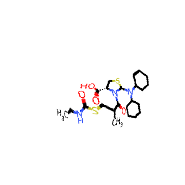 CCNC(=O)SCC(C)C(=O)N1C(N(C2CCCCC2)C2CCCCC2)SC[C@H]1C(=O)O